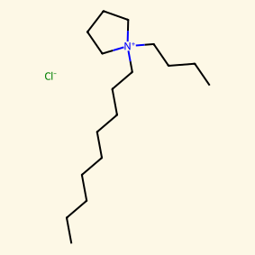 CCCCCCCCC[N+]1(CCCC)CCCC1.[Cl-]